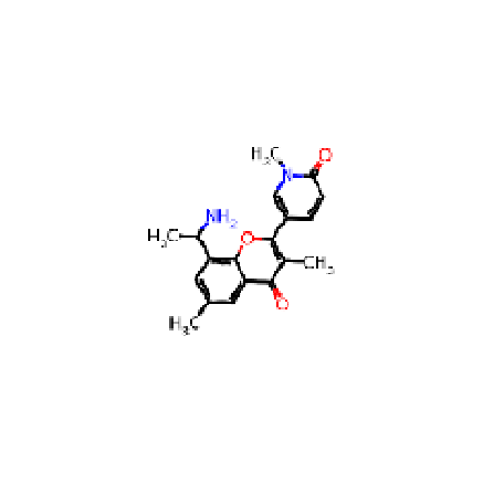 Cc1cc([C@@H](C)N)c2oc(-c3ccc(=O)n(C)c3)c(C)c(=O)c2c1